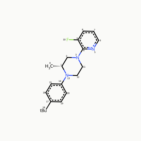 C[C@@H]1CN(c2ncccc2F)CCN1c1ccc(C(C)(C)C)cc1